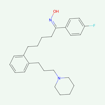 ON=C(CCCCc1ccccc1CCCN1CCCCC1)c1ccc(F)cc1